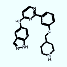 c1cc(OCC2CCNCC2)cc(-c2nccc(Nc3ccc4[nH]ncc4c3)n2)c1